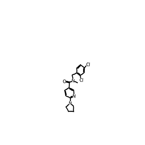 CN(Cc1ccc(Cl)cc1Cl)C(=O)c1ccc(N2CCCC2)nc1